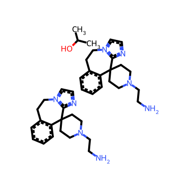 CC(C)O.NCCN1CCC2(CC1)c1ccccc1CCn1ccnc12.NCCN1CCC2(CC1)c1ccccc1CCn1ccnc12